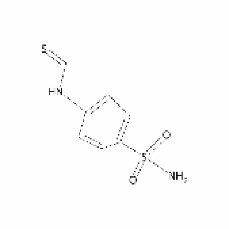 NS(=O)(=O)c1ccc(NC=S)cc1